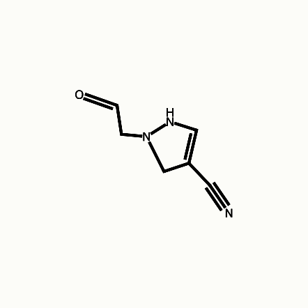 N#CC1=CNN(CC=O)C1